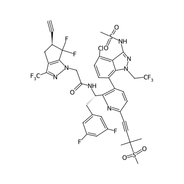 C#C[C@@H]1Cc2c(C(F)(F)F)nn(CC(=O)N[C@@H](Cc3cc(F)cc(F)c3)c3nc(C#CC(C)(C)S(C)(=O)=O)ccc3-c3ccc(Cl)c4c(NS(C)(=O)=O)nn(CC(F)(F)F)c34)c2C1(F)F